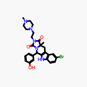 CN1CCN(CCN2C(=O)N3C(c4cccc(O)c4)c4[nH]c5ccc(Br)cc5c4CC3(C)C2=O)CC1